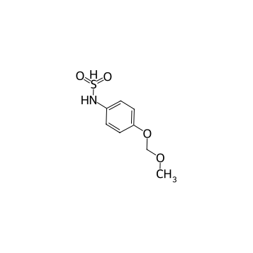 COCOc1ccc(N[SH](=O)=O)cc1